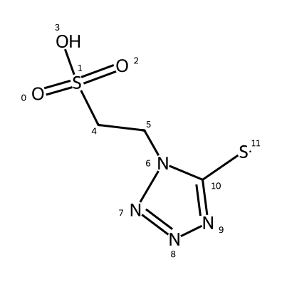 O=S(=O)(O)CCn1nnnc1[S]